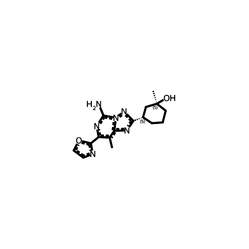 Cc1c(-c2ncco2)nc(N)n2nc([C@H]3CCC[C@](C)(O)C3)nc12